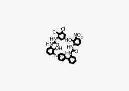 O=C(Nc1cccc([N+](=O)[O-])c1O)Nc1cccc(Cl)c1Cl.O=C(Nc1ccccc1-c1ccccc1)Nc1cccc([N+](=O)[O-])c1O